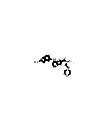 Cc1cc2cc(Nc3ccnc4cc(C(=O)N(C)CCN5CCOCC5)sc34)ccc2[nH]1